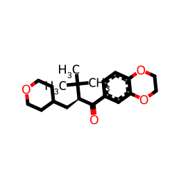 CC(C)(C)[C@H](CC1CCOCC1)C(=O)c1ccc2c(c1)OCCO2